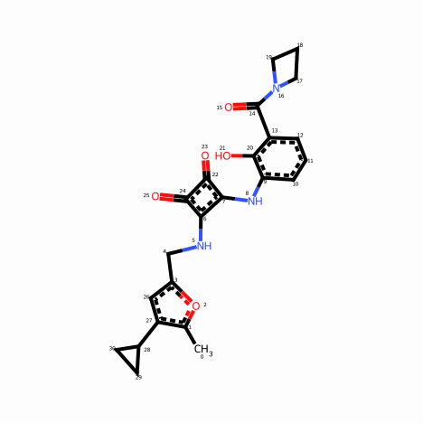 Cc1oc(CNc2c(Nc3cccc(C(=O)N4CCC4)c3O)c(=O)c2=O)cc1C1CC1